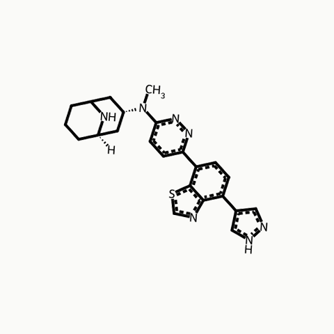 CN(c1ccc(-c2ccc(-c3cn[nH]c3)c3ncsc23)nn1)[C@H]1CC2CCC[C@H](C1)N2